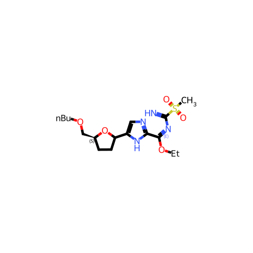 CCCCOC[C@@H]1CCC(c2cnc(/C(=N\C(=N)S(C)(=O)=O)OCC)[nH]2)O1